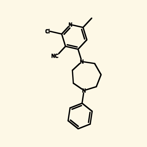 Cc1cc(N2CCCN(c3ccccc3)CC2)c(C#N)c(Cl)n1